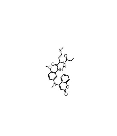 CCC(=O)NC(CCSC)C(=O)Nc1cc(N(C)c2cc(=O)oc3ccccc23)ccc1OC